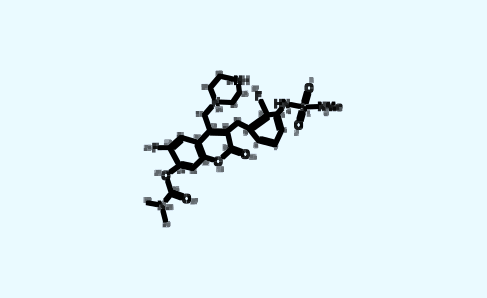 CNS(=O)(=O)Nc1cccc(Cc2c(CN3CCNCC3)c3cc(F)c(OC(=O)N(C)C)cc3oc2=O)c1F